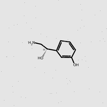 NC[C@@H](O)c1cccc(O)c1